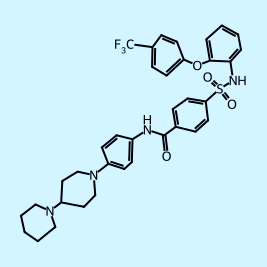 O=C(Nc1ccc(N2CCC(N3CCCCC3)CC2)cc1)c1ccc(S(=O)(=O)Nc2ccccc2Oc2ccc(C(F)(F)F)cc2)cc1